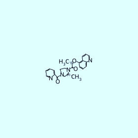 C[C@H](Oc1cccc2ncccc12)C(=O)N1CCN(C(=O)c2ccccn2)C[C@H]1C